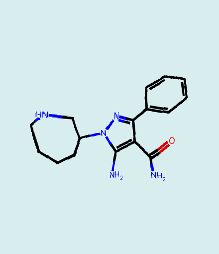 NC(=O)c1c(-c2ccccc2)nn(C2CCCCNC2)c1N